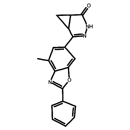 Cc1cc(C2=NNC(=O)C3CC23)cc2oc(-c3ccccc3)nc12